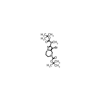 CN(C(=O)OC(C)(C)C)c1nn2c(c1Br)CN(C(=O)OC(C)(C)C)CCC2